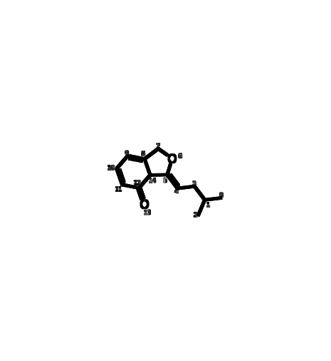 CC(C)CC=C1OCC2=CC=CC(=O)C21